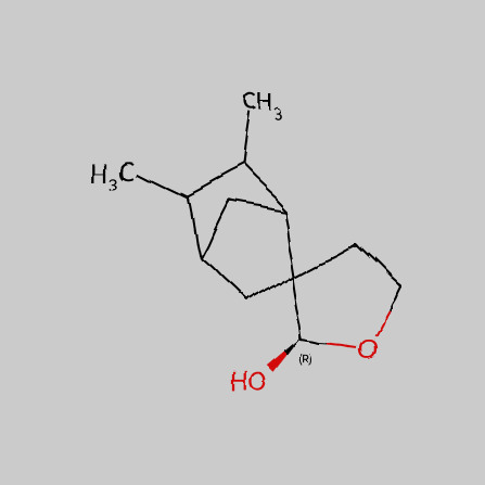 CC1C2CC(C1C)C1(CCO[C@H]1O)C2